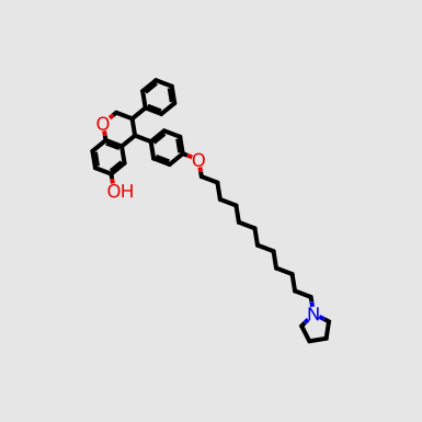 Oc1ccc2c(c1)C(c1ccc(OCCCCCCCCCCCCN3CCCC3)cc1)C(c1ccccc1)CO2